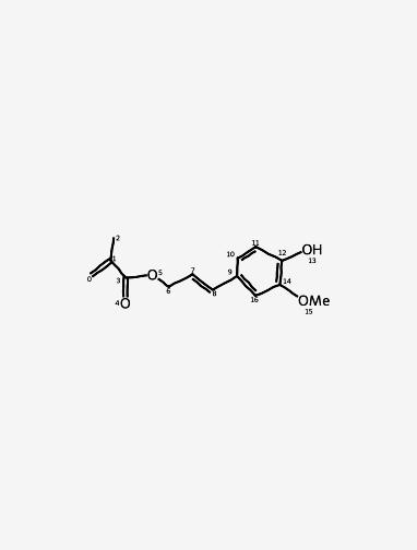 C=C(C)C(=O)OCC=Cc1ccc(O)c(OC)c1